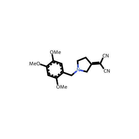 COc1cc(OC)c(OC)cc1CN1CCC(=C(C#N)C#N)C1